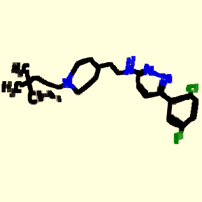 CC(C)(C)CCN1CCC(CCNc2ccc(-c3cc(F)ccc3Cl)nn2)CC1